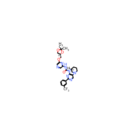 CC1(C)OC[C@H](COc2cncc(NC(=O)N3c4nc(-c5cccc(C(F)(F)F)c5)ncc4N4CCC[C@H]3C4)n2)O1